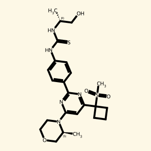 C[C@H](CO)NC(=S)Nc1ccc(-c2nc(N3CCOC[C@@H]3C)cc(C3(S(C)(=O)=O)CCC3)n2)cc1